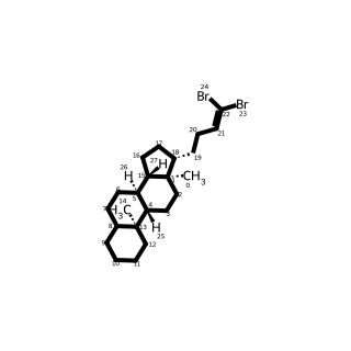 C[C@]12CC[C@H]3[C@@H](CCC4CCCC[C@@]43C)[C@@H]1CC[C@@H]2CCC=C(Br)Br